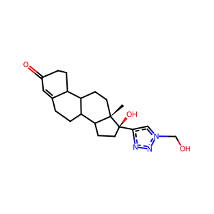 C[C@]12CCC3C4CCC(=O)C=C4CCC3C1CC[C@@]2(O)c1cn(CO)nn1